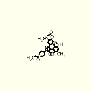 C=CC(=O)N1CCC(n2nc(-c3ccc4c(c3)N(C)CC(=O)O4)c(-c3c(Cl)c(C)cc4[nH]ncc34)c2C)CC1